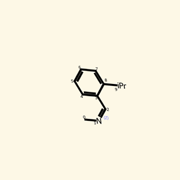 C/N=C\c1ccccc1C(C)C